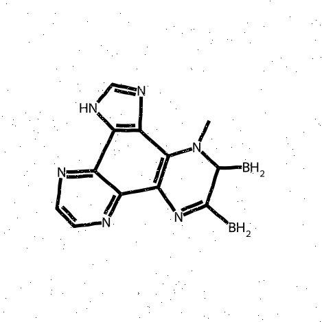 BC1=Nc2c(c3nc[nH]c3c3nccnc23)N(C)C1B